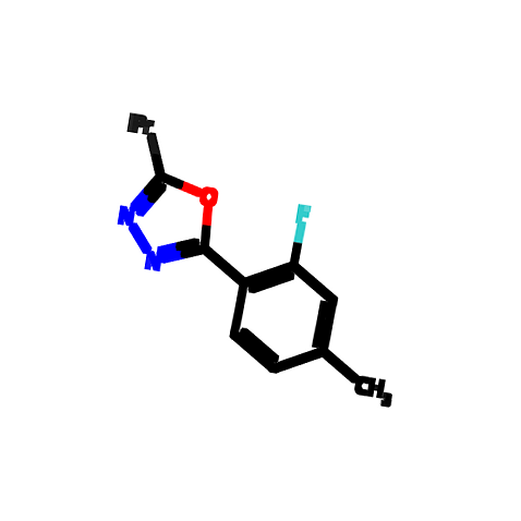 Cc1ccc(-c2nnc(C(C)C)o2)c(F)c1